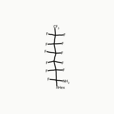 CCCCCCC(N)(F)C(F)(F)C(F)(F)C(F)(F)C(F)(F)C(F)(F)C(F)(F)F